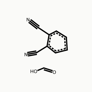 N#Cc1ccccc1C#N.O=CO